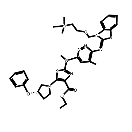 CCOC(=O)c1nc(N(C)c2cc(C)c(N=c3sc4ccccc4n3COCC[Si](C)(C)C)nn2)sc1N1CC[C@H](Oc2ccccc2)C1